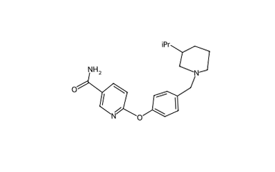 CC(C)C1CCCN(Cc2ccc(Oc3ccc(C(N)=O)cn3)cc2)C1